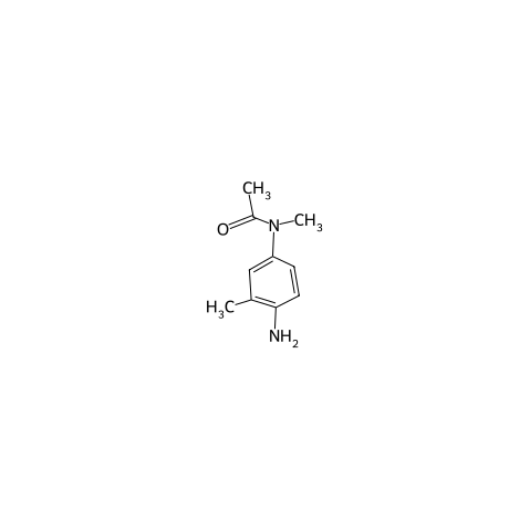 CC(=O)N(C)c1ccc(N)c(C)c1